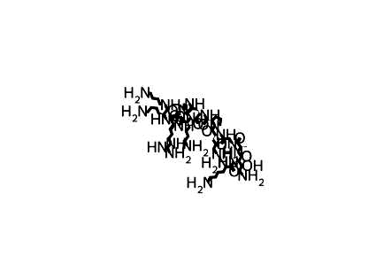 C[C@H](NC(=O)[C@@H](NC(=O)[C@@H](N)CCCCN)[C@@H](O)CN)C(=O)NCC(=O)N[C@H](CCCN)C(=O)N1CCC[C@H]1C(=O)N[C@@H](Cc1cnc[nH]1)C(=O)N[C@@H](CCCCN)C(=O)N/C(=C\CCNC(=N)N)C(=O)N[C@@H](CCCCN)C(=O)NCCCCN